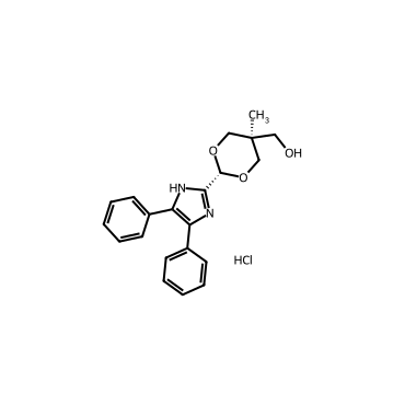 C[C@]1(CO)CO[C@H](c2nc(-c3ccccc3)c(-c3ccccc3)[nH]2)OC1.Cl